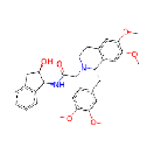 COc1ccc(C[C@H]2c3cc(OC)c(OC)cc3CCN2CC(=O)N[C@H]2c3ccccc3C[C@H]2O)cc1OC